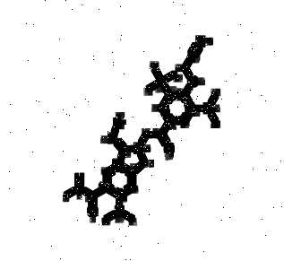 CNC(=O)c1cc2c(cc1N(C)C)CN(CC(=O)c1cc(N(C)C)c(OCC#N)c(C(C)(C)C)c1)/C2=N\Br